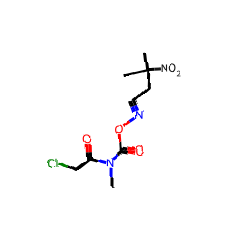 CN(C(=O)CCl)C(=O)ON=CCC(C)(C)[N+](=O)[O-]